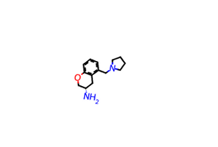 N[C@@H]1COc2cccc(CN3CCCC3)c2C1